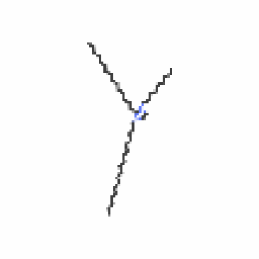 CCCCCCCCCCCCCCCCCC[n+]1ccn(CCCCCCCCC)c1CCCCCCCCCCCCCCC